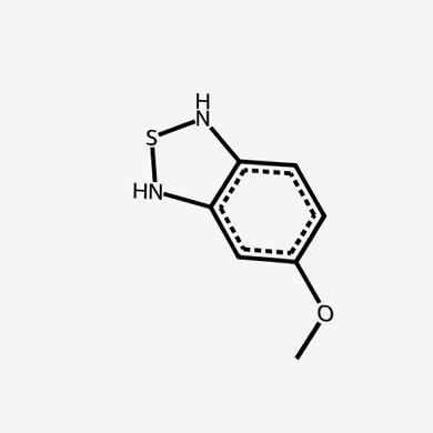 COc1ccc2c(c1)NSN2